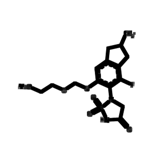 [CH2]C1Cc2cc(OCOCCOC)c(N3CC(=O)NS3(=O)=O)c(F)c2C1